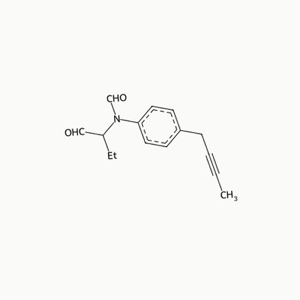 CC#CCc1ccc(N(C=O)C(C=O)CC)cc1